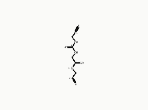 C#CCOC(=O)OCC(=O)OCC=C